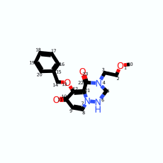 COCCN1CNn2ccc(=O)c(OCc3ccccc3)c2C1=O